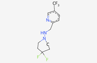 FC1(F)CCN(NCc2ccc(C(F)(F)F)cn2)CC1